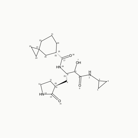 O=C(NC1CC1)C(O)[C@H](C[C@@H]1CCNC1=O)NC(=O)[C@H]1CCCC2(CC2)C1